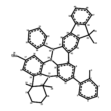 Cc1ccccc1-c1cc2c3c(c1)N1c4c(cc(C(C)(C)C)cc4C4(C)CCCCC14C)B3N(c1ccccc1)c1cc3c(cc1-2)C(C)(C)c1ccccc1-3